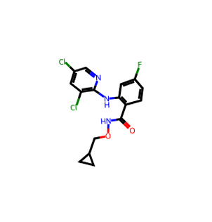 O=C(NOCC1CC1)c1ccc(F)cc1Nc1ncc(Cl)cc1Cl